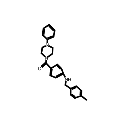 Cc1ccc(CNc2ccc(C(=O)N3CCN(c4ccccc4)CC3)cc2)cc1